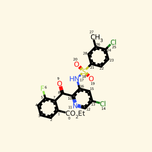 CCOC(=O)c1cccc(F)c1C(=O)c1ncc(Cl)cc1NS(=O)(=O)c1ccc(Cl)c(C)c1